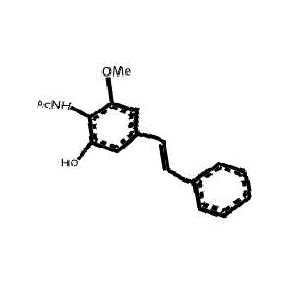 COc1cc(/C=C/c2ccccc2)cc(O)c1NC(C)=O